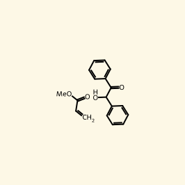 C=CC(=O)OC.O=C(c1ccccc1)C(O)c1ccccc1